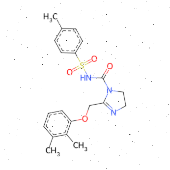 Cc1ccc(S(=O)(=O)NC(=O)N2CCN=C2COc2cccc(C)c2C)cc1